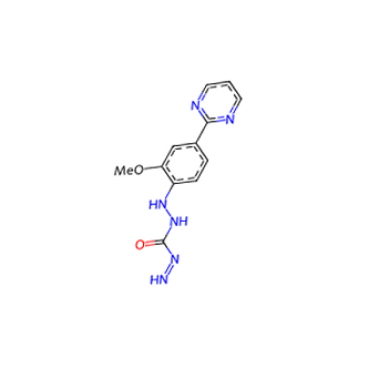 COc1cc(-c2ncccn2)ccc1NNC(=O)N=N